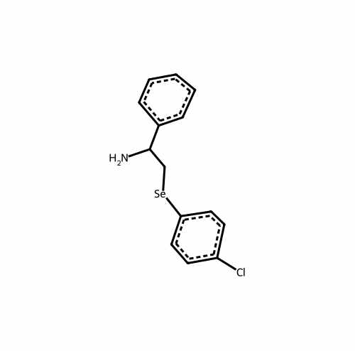 NC(C[Se]c1ccc(Cl)cc1)c1ccccc1